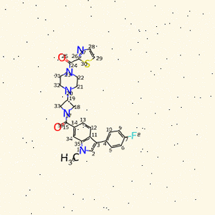 Cn1cc(-c2ccc(F)cc2)c2ccc(C(=O)N3CC(N4CCN(C(=O)c5nccs5)CC4)C3)cc21